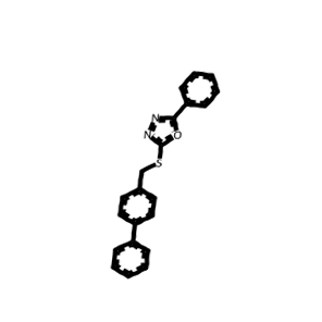 c1ccc(-c2ccc(CSc3nnc(-c4ccccc4)o3)cc2)cc1